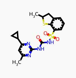 Cc1cc(C2CC2)nc(NC(=O)NS(=O)(=O)c2cccc3c2SC(C)C3)n1